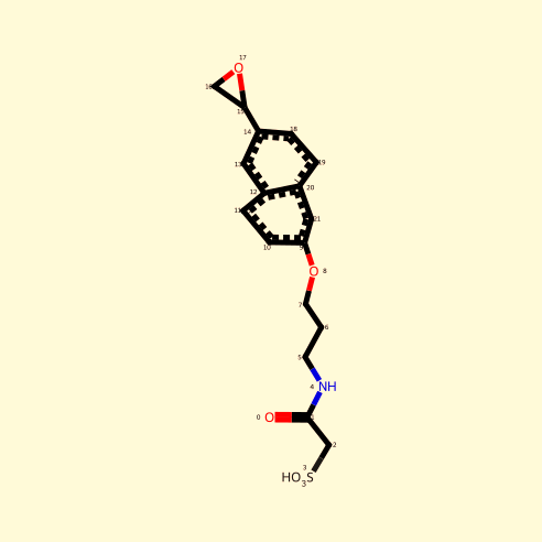 O=C(CS(=O)(=O)O)NCCCOc1ccc2cc(C3CO3)ccc2c1